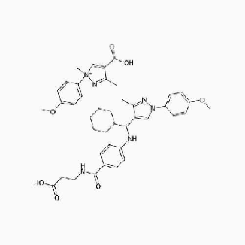 COc1ccc(-n2cc(C(Nc3ccc(C(=O)NCCC(=O)O)cc3)C3CCCCC3)c(C)n2)cc1.COc1ccc([N+]2(C)C=C(C(=O)O)C(C)=N2)cc1